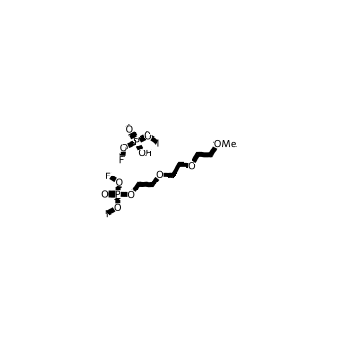 COCCOCCOCCOP(=O)(OF)OI.O=P(O)(OF)OI